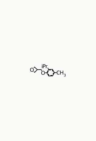 Cc1ccc(OCC2COC2)c(C(C)C)c1